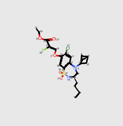 CCCC[C@@H]1CN(C23CC(C2)C3)c2cc(Cl)c(O/C=C(\F)C(=O)OCC)cc2S(=O)(=O)N1